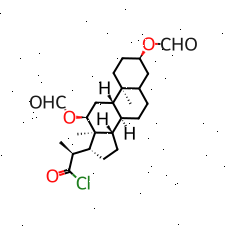 C[C@H](C(=O)Cl)[C@H]1CC[C@H]2[C@@H]3CCC4C[C@H](OC=O)CC[C@]4(C)[C@H]3C[C@H](OC=O)[C@]12C